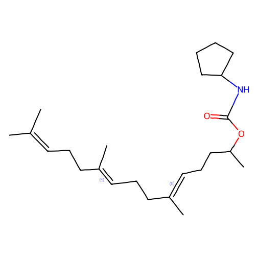 CC(C)=CCC/C(C)=C/CC/C(C)=C/CCC(C)OC(=O)NC1CCCC1